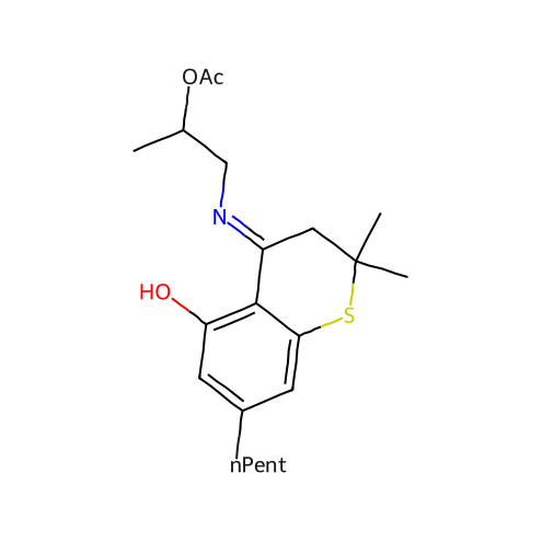 CCCCCc1cc(O)c2c(c1)SC(C)(C)CC2=NCC(C)OC(C)=O